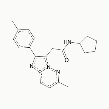 Cc1ccc(-c2nc3ccc(C)nn3c2CC(=O)NC2CCCC2)cc1